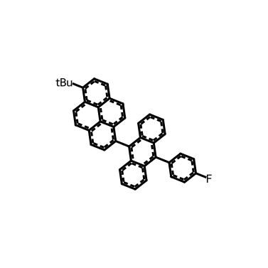 CC(C)(C)c1ccc2ccc3c(-c4c5ccccc5c(-c5ccc(F)cc5)c5ccccc45)ccc4ccc1c2c43